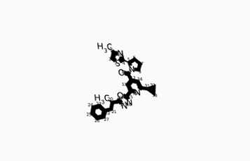 Cc1csc([C@H]2CCCN2C(=O)c2cc(-c3nnc([C@H](C)Cc4ccccc4)o3)nc(C3CC3)c2)n1